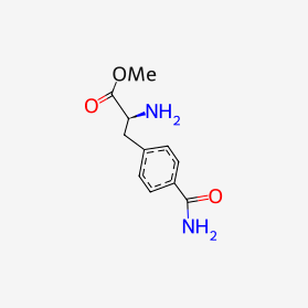 COC(=O)[C@@H](N)Cc1ccc(C(N)=O)cc1